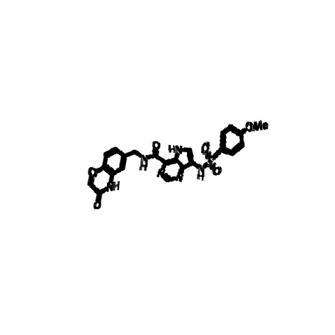 COc1ccc(S(=O)(=O)Nc2c[nH]c3c(C(=O)NCc4ccc5c(c4)NC(=O)CO5)ncnc23)cc1